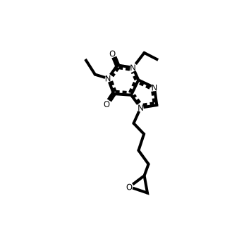 CCn1c(=O)c2c(ncn2CCCCC2CO2)n(CC)c1=O